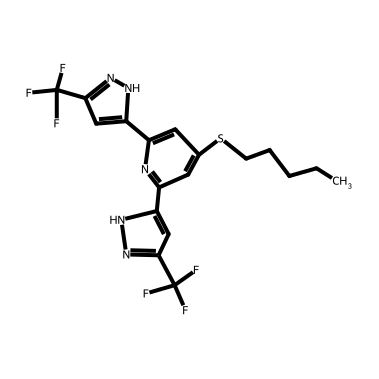 CCCCCSc1cc(-c2cc(C(F)(F)F)n[nH]2)nc(-c2cc(C(F)(F)F)n[nH]2)c1